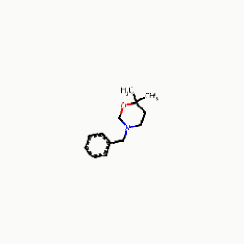 CC1(C)CCN(Cc2ccccc2)CO1